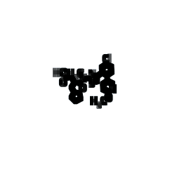 COc1ccc(-c2ccc(Cl)cc2-c2csc(N(C)C(=O)C(CC(=O)O)CC3CCCC3)n2)cn1